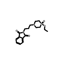 CCOP1(=O)CCN(CCCN2C(=O)c3ccccc3C2=O)CC1